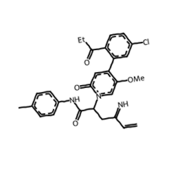 C=CC(=N)CC(C(=O)Nc1ccc(C)cc1)n1cc(OC)c(-c2cc(Cl)ccc2C(=O)CC)cc1=O